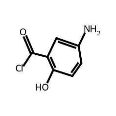 Nc1ccc(O)c(C(=O)Cl)c1